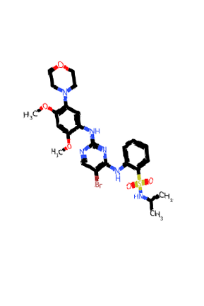 COc1cc(OC)c(N2CCOCC2)cc1Nc1ncc(Br)c(Nc2ccccc2S(=O)(=O)NC(C)C)n1